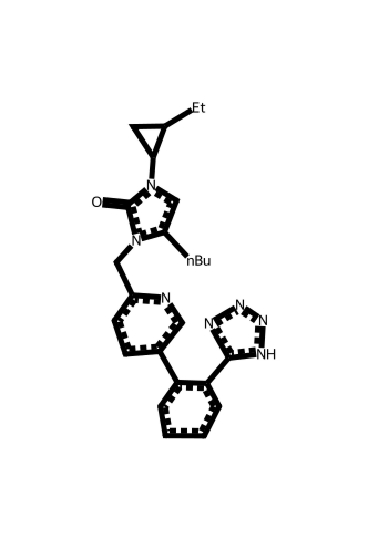 CCCCc1cn(C2CC2CC)c(=O)n1Cc1ccc(-c2ccccc2-c2nnn[nH]2)cn1